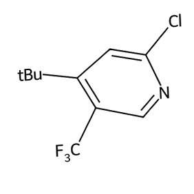 CC(C)(C)c1cc(Cl)ncc1C(F)(F)F